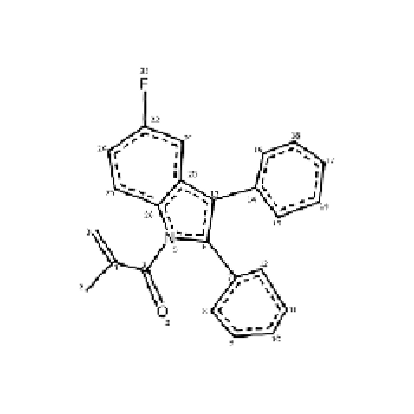 C=C(C)C(=O)n1c(-c2ccccc2)c(-c2ccccc2)c2cc(F)ccc21